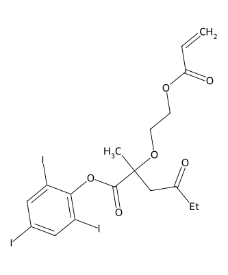 C=CC(=O)OCCOC(C)(CC(=O)CC)C(=O)Oc1c(I)cc(I)cc1I